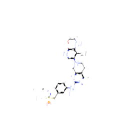 CCOC(=O)N=S(C)(=O)Cc1cccc(Nc2ncc3c(n2)CN(c2cnc4c(c2C)NCCO4)CC3)c1